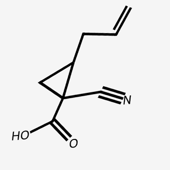 C=CCC1CC1(C#N)C(=O)O